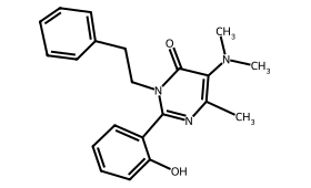 Cc1nc(-c2ccccc2O)n(CCc2ccccc2)c(=O)c1N(C)C